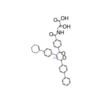 O=C(/C=C(\C(=O)c1ccc(C(=O)NC[C@@H](O)C(=O)O)cc1)c1ccc(C2=CCCCC2)cc1)c1ccc(-c2ccccc2)cc1